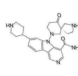 NC(=O)c1cncc2c3ccc(C4CCNCC4)cc3n(N3CCC(=O)[C@]4(CCNC4)C3)c12